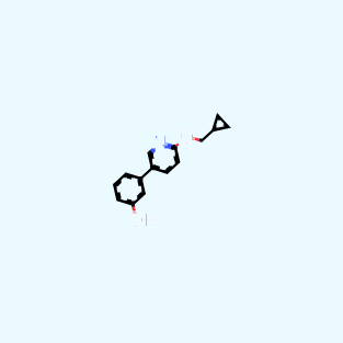 Oc1cccc(-c2ccc(OCC3CC3)nc2)c1